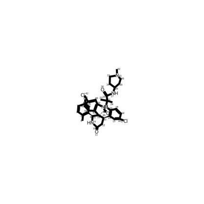 Cc1ccc(F)cc1[C@@H]1NC(=O)C[C@H](c2cc(Cl)ccc2OC(C)(C)C(=O)NC2CCN(C)CC2)[C@@]12C(=O)Nc1cc(Cl)ccc12